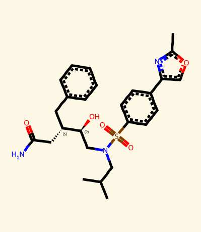 Cc1nc(-c2ccc(S(=O)(=O)N(CC(C)C)C[C@H](O)[C@H](CC(N)=O)Cc3ccccc3)cc2)co1